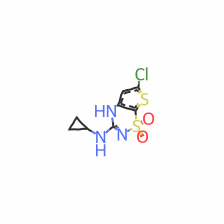 O=S1(=O)N=C(NC2CC2)Nc2cc(Cl)sc21